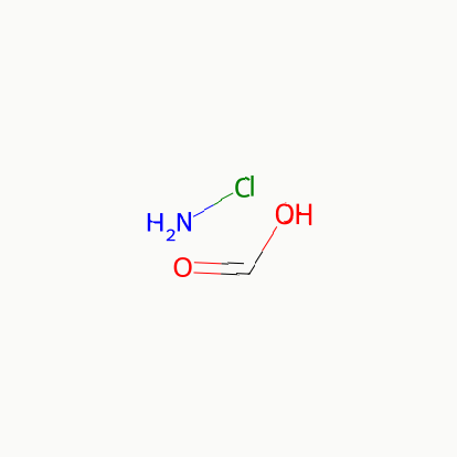 NCl.O=CO